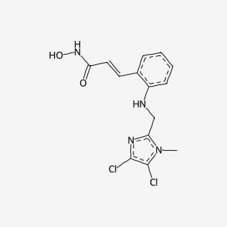 Cn1c(CNc2ccccc2C=CC(=O)NO)nc(Cl)c1Cl